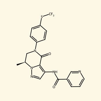 C[C@H]1CN(c2ccc(SC(F)(F)F)cc2)C(=O)c2c(NC(=O)c3cccnc3)cnn21